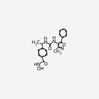 Cc1noc(-c2ccccc2)c1NC(=O)NC(C)c1ccc(C(=O)NO)cc1